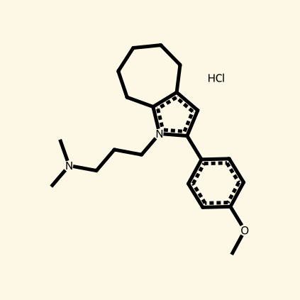 COc1ccc(-c2cc3c(n2CCCN(C)C)CCCCC3)cc1.Cl